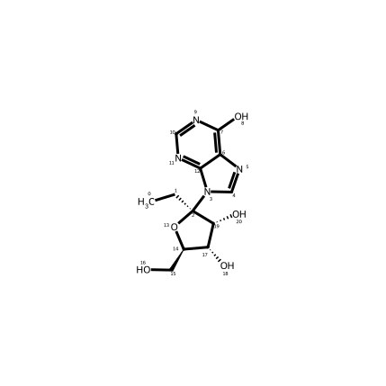 CC[C@@]1(n2cnc3c(O)ncnc32)O[C@H](CO)[C@@H](O)[C@H]1O